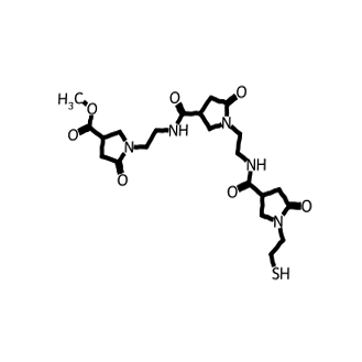 COC(=O)C1CC(=O)N(CCNC(=O)C2CC(=O)N(CCNC(=O)C3CC(=O)N(CCS)C3)C2)C1